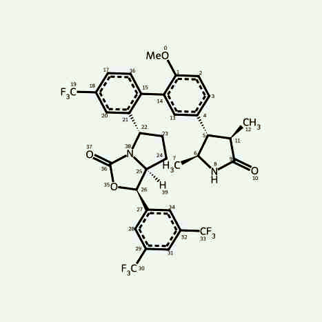 COc1ccc([C@H]2[C@H](C)NC(=O)[C@@H]2C)cc1-c1ccc(C(F)(F)F)cc1[C@@H]1CC[C@H]2[C@@H](c3cc(C(F)(F)F)cc(C(F)(F)F)c3)OC(=O)N12